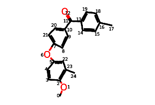 COc1ccc(Oc2ccc(C(=O)c3ccc(C)cc3)cc2)cc1C